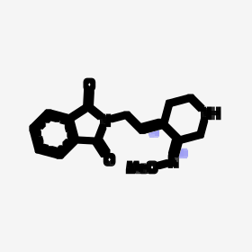 CO/N=C1/CNCC/C1=C\CN1C(=O)c2ccccc2C1=O